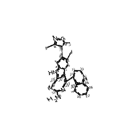 Cc1cc2c(cc1-c1c(C)noc1C)[nH]c1nc(N)nc(-c3ccnc4ccccc34)c12